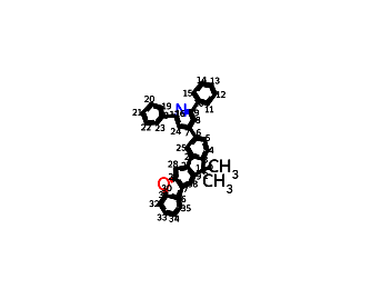 CC1(C)c2ccc(-c3cc(-c4ccccc4)nc(-c4ccccc4)c3)cc2-c2cc3oc4ccccc4c3cc21